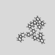 C1=CC(c2ccc(N(c3cccc(-c4cccc5c4Oc4c(ccc6c4-c4ccccc4C64c6ccccc6-c6ccccc64)O5)c3)c3cccc(-n4c5ccccc5c5ccccc54)c3)cc2)Cc2c1sc1ccccc21